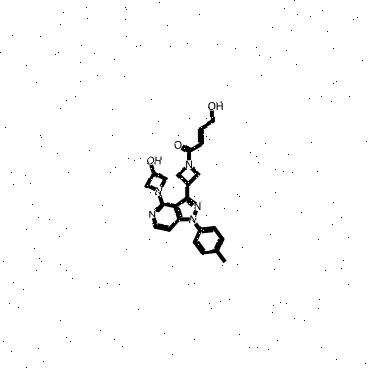 Cc1ccc(-n2nc(C3CN(C(=O)/C=C/CO)C3)c3c(N4CC(O)C4)nccc32)cc1